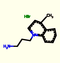 Br.Cc1cc[n+](CCCN)c2ccccc12